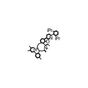 C=C1CC2c3cc(C)ccc3-c3cc(C)c(C)c[n+]3C2CCc2ccc3c(oc4nc(-c5c(C(C)C)cccc5C(C)C)ccc43)c2/C(=C/C)N1C